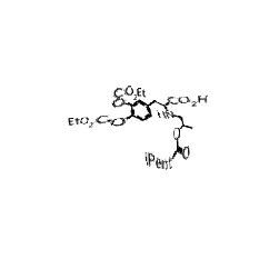 CCCC(C)C(=O)OC(C)CN[C@@H](Cc1ccc(OC(=O)OCC)c(OC(=O)OCC)c1)C(=O)O